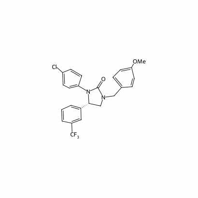 COc1ccc(CN2C[C@H](c3cccc(C(F)(F)F)c3)N(c3ccc(Cl)cc3)C2=O)cc1